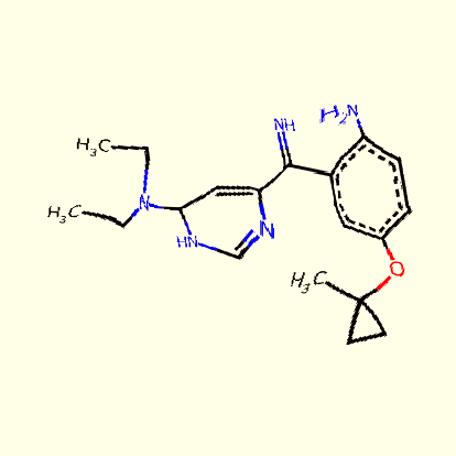 CCN(CC)C1C=C(C(=N)c2cc(OC3(C)CC3)ccc2N)N=CN1